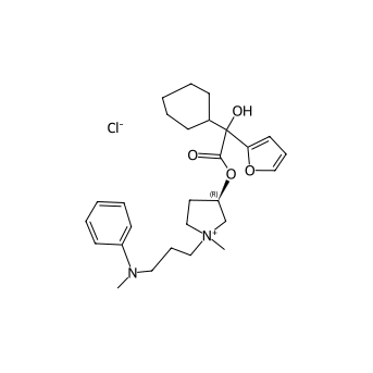 CN(CCC[N+]1(C)CC[C@@H](OC(=O)C(O)(c2ccco2)C2CCCCC2)C1)c1ccccc1.[Cl-]